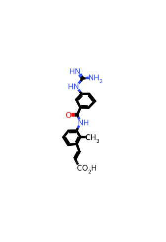 Cc1c(C=CC(=O)O)cccc1NC(=O)c1cccc(NC(=N)N)c1